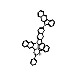 C1=CCCC(C2NC(C3=CCCC=C3)=NC(c3cc4ccccc4cc3N3C4=CC5=CC=C(n6c7c(c8ccccc86)C=C6C=CC=CC6C7)CC5CC4C4=C3CCC=C4)N2)=C1